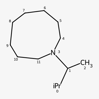 CC(C)C(C)N1CCCCCCCC1